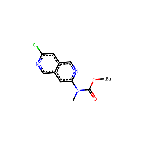 CN(C(=O)OC(C)(C)C)c1cc2cnc(Cl)cc2cn1